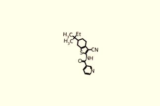 CCC(C)(C)C1CCc2c(sc(NC(=O)c3cccnc3)c2C#N)C1